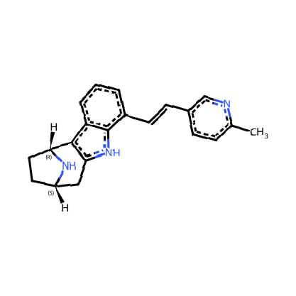 Cc1ccc(C=Cc2cccc3c4c([nH]c23)C[C@@H]2CC[C@H]4N2)cn1